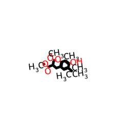 COC(=O)C(Cc1cc(C)c(O)c(C(C)(C)C)c1)C(=O)OC